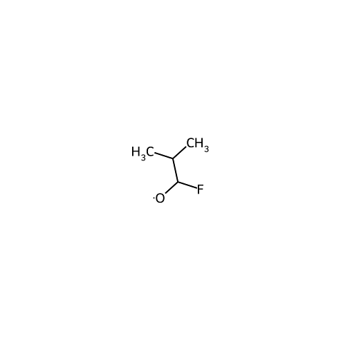 CC(C)C([O])F